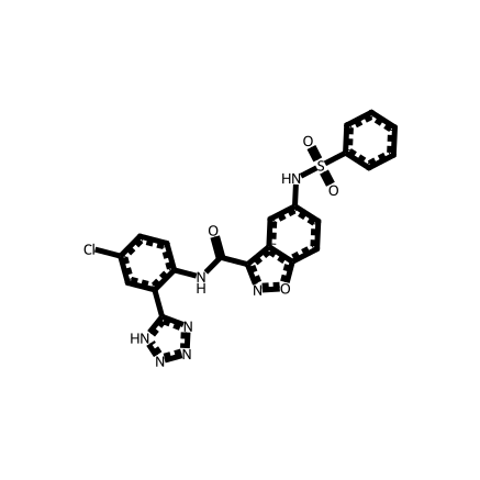 O=C(Nc1ccc(Cl)cc1-c1nnn[nH]1)c1noc2ccc(NS(=O)(=O)c3ccccc3)cc12